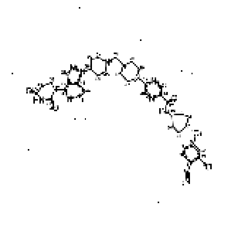 N#Cc1ccc(O[C@H]2CC[C@H](NC(=O)c3cnc(N4CCC(CN5CCC(n6ncc7c(N8CCC(=O)NC8=O)nccc76)CC5)CC4)cn3)CC2)cc1Cl